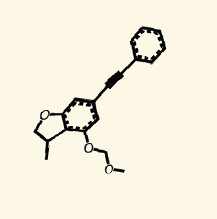 COCOc1cc(C#Cc2ccccc2)cc2c1C(C)CO2